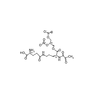 CC(=O)C(=O)N[C@@H](CCCNC(=O)CC[C@H](N)C(=O)O)C(=O)OC[C@H](CO[N+](=O)[O-])O[N+](=O)[O-]